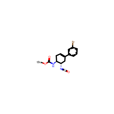 CC(C)(C)OC(=O)N[C@H]1CC=C(c2cccc(Br)c2)C[C@@H]1N=C=O